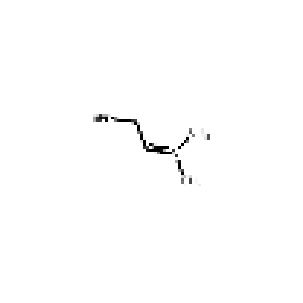 C[N+](C)=CCCC[13CH3]